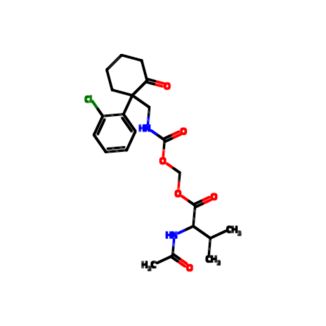 CC(=O)NC(C(=O)OCOC(=O)NCC1(c2ccccc2Cl)CCCCC1=O)C(C)C